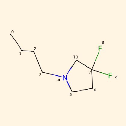 CCCCN1CCC(F)(F)C1